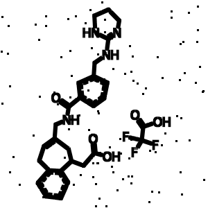 O=C(O)C(F)(F)F.O=C(O)CC1CC(CNC(=O)c2cccc(CNC3=NCCCN3)c2)=CCc2ccccc21